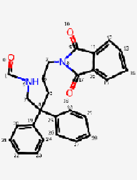 O=CNCC(CCCN1C(=O)c2ccccc2C1=O)(c1ccccc1)c1ccccc1